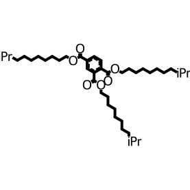 CC(C)CCCCCCCCOC(=O)c1ccc(C(=O)OCCCCCCCCC(C)C)c(C(=O)OCCCCCCCCC(C)C)c1